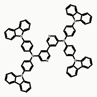 c1ccc2c(c1)c1ccccc1n2-c1ccc(N(c2ccc(-n3c4ccccc4c4ccccc43)cc2)c2cncc(-c3cncc(N(c4ccc(-n5c6ccccc6c6ccccc65)cc4)c4ccc(-n5c6ccccc6c6ccccc65)cc4)c3)c2)cc1